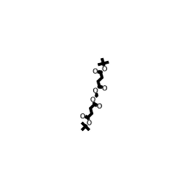 CC(C)(C)OC(=O)CCC(=O)OCOC(=O)CCC(=O)OC(C)(C)C